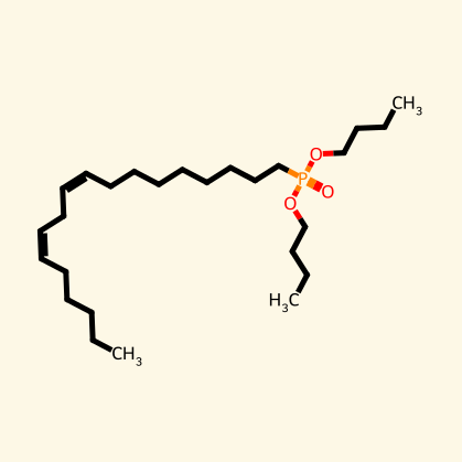 CCCCC/C=C\C/C=C\CCCCCCCCP(=O)(OCCCC)OCCCC